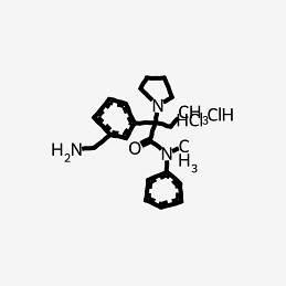 CCC(C(=O)N(C)c1ccccc1)(c1cccc(CN)c1)N1CCCC1.Cl.Cl